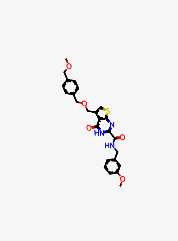 COCc1ccc(COCc2csc3nc(C(=O)NCc4cccc(OC)c4)[nH]c(=O)c23)cc1